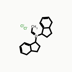 C[CH]=[Zr]([CH]1CCC2CC=CC=C21)[CH]1CCC2CC=CC=C21.[Cl-].[Cl-]